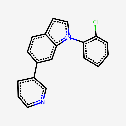 Clc1ccccc1-n1ccc2ccc(-c3cccnc3)cc21